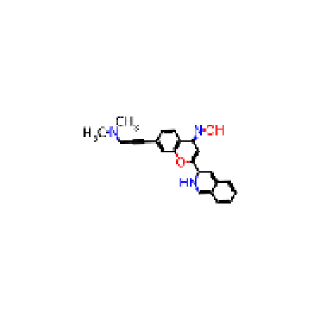 CN(C)CC#Cc1ccc2c(=NO)cc(C3C=c4ccccc4=CN3)oc2c1